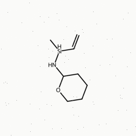 C=C[SiH](C)NC1CCCCO1